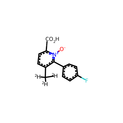 [2H]C([2H])([2H])c1ccc(C(=O)O)[n+]([O-])c1-c1ccc(F)cc1